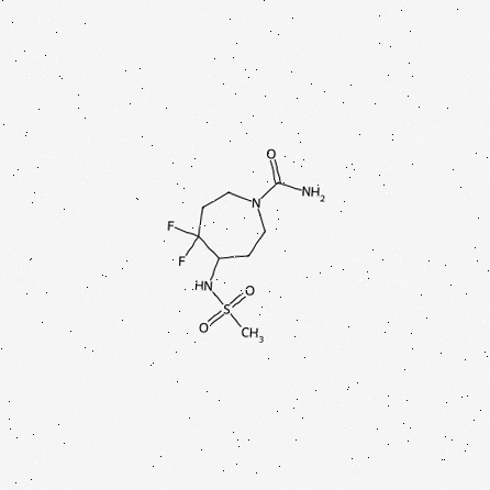 CS(=O)(=O)NC1CCN(C(N)=O)CCC1(F)F